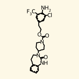 Nc1c(Cl)cc(CCOC(=O)N2CCC(N3CCc4ccccc4NC3=O)CC2)cc1C(F)(F)F